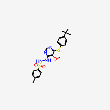 COc1c(NNS(=O)(=O)c2ccc(C)cc2)ncnc1Sc1ccc(C(C)(C)C)cc1